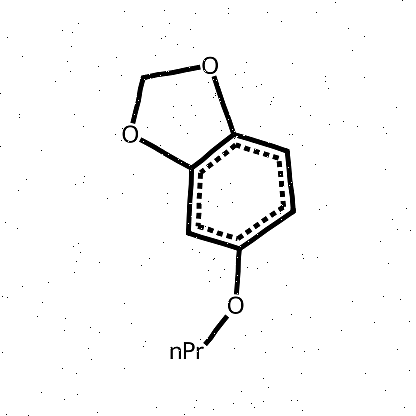 [CH2]CCOc1ccc2c(c1)OCO2